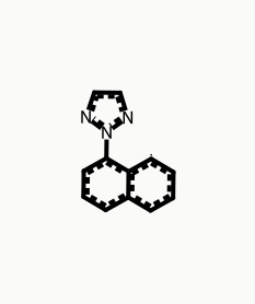 [c]1cccc2cccc(-n3nccn3)c12